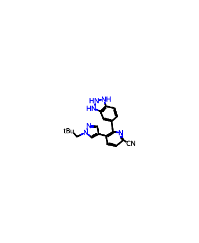 CC(C)(C)Cn1cc(-c2ccc(C#N)nc2-c2ccc3c(c2)NNN3)cn1